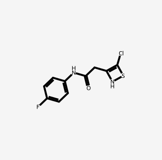 O=C(Cc1[nH]sc1Cl)Nc1ccc(F)cc1